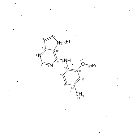 CCn1ccc2ncnc(Nc3ccc(C)cc3OC(C)C)c21